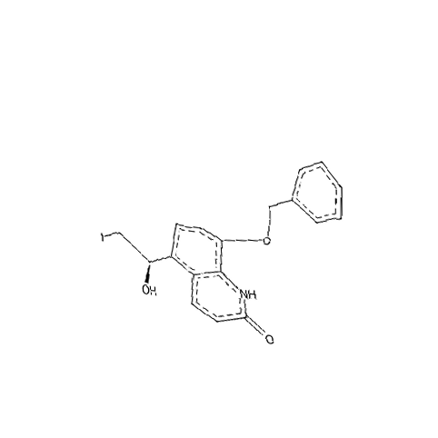 O=c1ccc2c([C@@H](O)CI)ccc(OCc3ccccc3)c2[nH]1